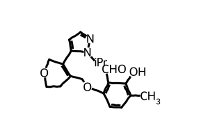 Cc1ccc(OCC2=C(c3ccnn3C(C)C)COCC2)c(C=O)c1O